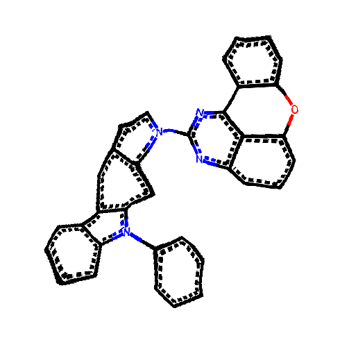 c1ccc(-n2c3ccccc3c3cc4ccn(-c5nc6c7c(cccc7n5)Oc5ccccc5-6)c4cc32)cc1